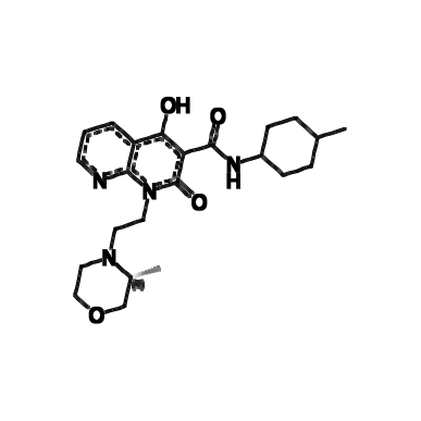 CC1CCC(NC(=O)c2c(O)c3cccnc3n(CCN3CCOC[C@H]3C)c2=O)CC1